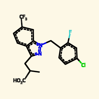 CC(Cc1nn(Cc2ccc(Cl)cc2F)c2cc(C(F)(F)F)ccc12)C(=O)O